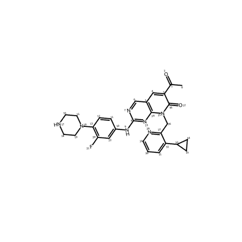 CC(=O)c1cc2cnc(Nc3ccc(N4CCNCC4)c(F)c3)nc2n(Cc2ncccc2C2CC2)c1=O